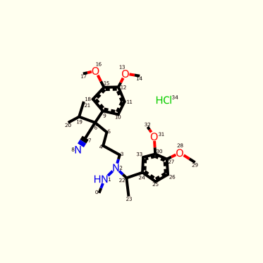 CNN(CCCC(C#N)(c1ccc(OC)c(OC)c1)C(C)C)C(C)c1ccc(OC)c(OC)c1.Cl